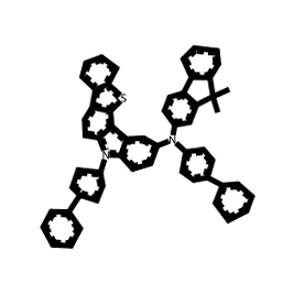 CC1(C)c2ccccc2-c2ccc(N(c3ccc(-c4ccccc4)cc3)c3ccc4c(c3)c3c5sc6ccccc6c5ccc3n4-c3ccc(-c4ccccc4)cc3)cc21